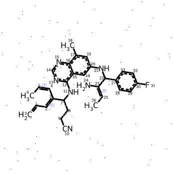 C=C/C=C(\C=C/C)C(CCC#N)Nc1ncnc2c(C)cc(NC(/C(N)=C/C)c3ccc(F)cc3)cc12